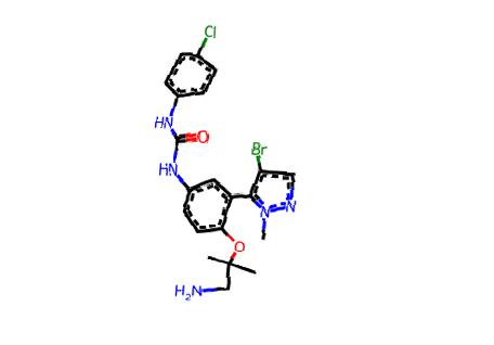 Cn1ncc(Br)c1-c1cc(NC(=O)Nc2ccc(Cl)cc2)ccc1OC(C)(C)CN